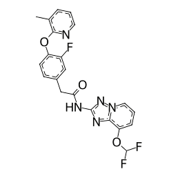 Cc1cccnc1Oc1ccc(CC(=O)Nc2nc3c(OC(F)F)cccn3n2)cc1F